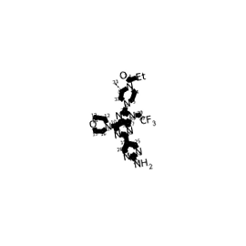 CCC(=O)N1CCN(c2nc3c(N4CCOCC4)nc(-c4cnc(N)nc4)nc3n2CC(F)(F)F)C[C@@H]1C